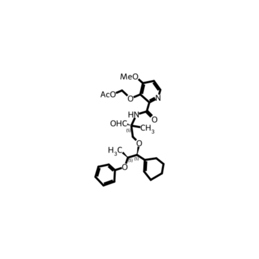 COc1ccnc(C(=O)N[C@](C)(C=O)CO[C@@H](C2=CCCCC2)[C@H](C)Oc2ccccc2)c1OCOC(C)=O